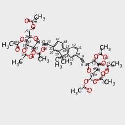 CC(=O)OC[C@H]1O[C@H](C#Cc2ccc3c(c2)C(C)(C)c2cc(C#C[C@H]4O[C@H](COC(C)=O)[C@@H](OC(C)=O)[C@@H](OC(C)=O)[C@@H]4OC(C)=O)ccc2-3)[C@@H](OC(C)=O)[C@@H](OC(C)=O)[C@@H]1OC(C)=O